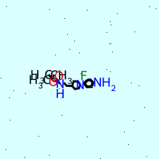 CC(C)(C)OC(=O)NCCC1CCN(c2ccc(N)cc2F)CC1